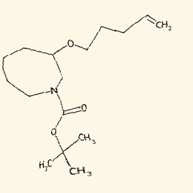 C=CCCCOC1CCCCN(C(=O)OC(C)(C)C)C1